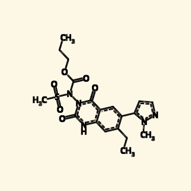 CCCOC(=O)N(n1c(=O)[nH]c2cc(CC)c(-c3ccnn3C)cc2c1=O)S(C)(=O)=O